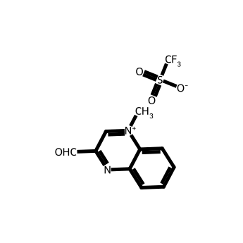 C[n+]1cc(C=O)nc2ccccc21.O=S(=O)([O-])C(F)(F)F